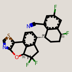 N#Cc1cc(F)cc2c1[C@@H](c1ccc3c4c1CC(F)(F)[C@H]4Oc1ncsc1-3)CC[C@@H]2F